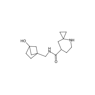 O=C(NCC12CCC(O)(C1)C2)C1CCNC2(CC2)C1